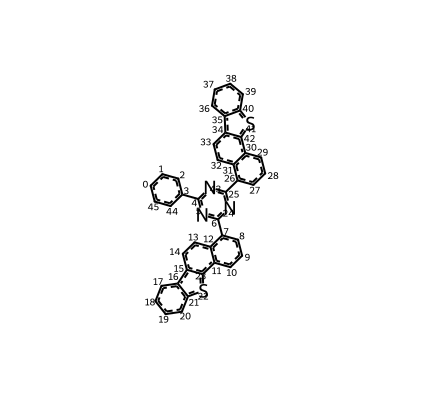 c1ccc(-c2nc(-c3cccc4c3ccc3c5ccccc5sc43)nc(-c3cccc4c3ccc3c5ccccc5sc43)n2)cc1